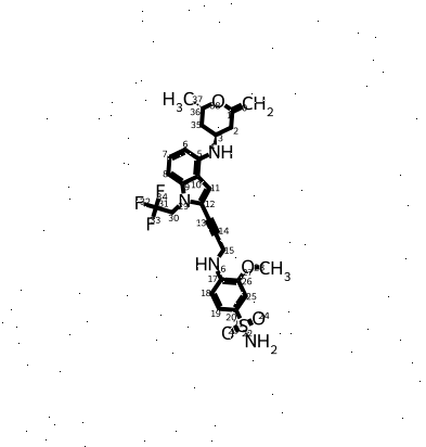 C=C1C[C@@H](Nc2cccc3c2cc(C#CCNc2ccc(S(N)(=O)=O)cc2OC)n3CC(F)(F)F)C[C@H](C)O1